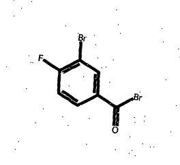 O=C(Br)c1ccc(F)c(Br)c1